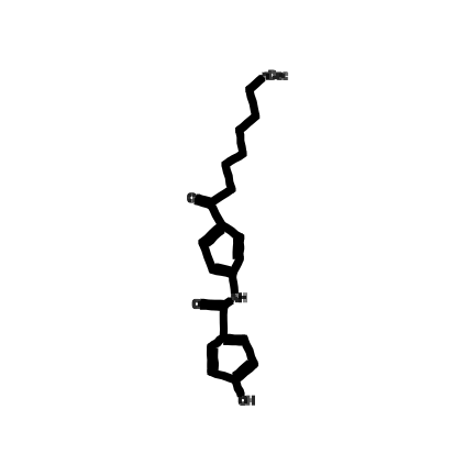 CCCCCCCCCCCCCCCCC(=O)c1ccc(NC(=O)c2ccc(O)cc2)cc1